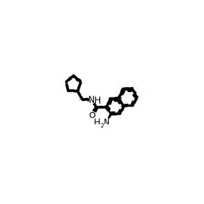 Nc1cc2ccccc2cc1C(=O)N[CH]C1CCCC1